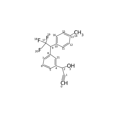 C#CC(O)c1cccc(C(c2ccc(C)cc2)C(F)(F)F)c1